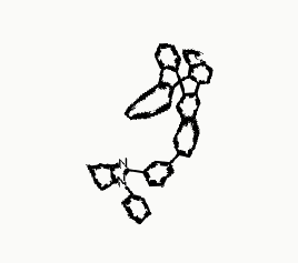 c1ccc(-n2c(-c3cccc(-c4ccc5cc6c(cc5c4)C4(c5ccccc5-c5ccccc54)c4c-6ccc5ccccc45)c3)nc3ccccc32)cc1